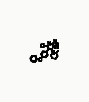 CC1CCCCN1c1c(-c2ccc(Oc3ccccc3)cc2)c(Cl)nc2ncnn12